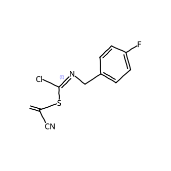 C=C(C#N)S/C(Cl)=N\Cc1ccc(F)cc1